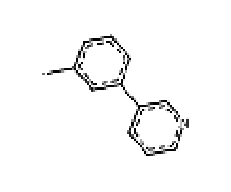 [CH2]c1cccc(-c2cccnc2)c1